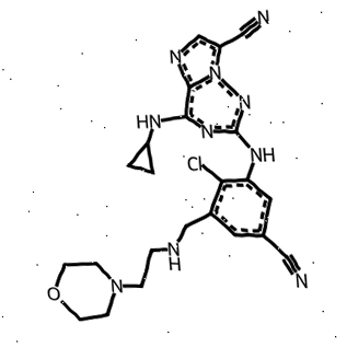 N#Cc1cc(CNCCN2CCOCC2)c(Cl)c(Nc2nc(NC3CC3)c3ncc(C#N)n3n2)c1